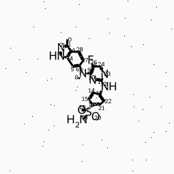 Cc1n[nH]c2cc(N(C)c3nc(Nc4ccc(S(N)(=O)=O)cc4)ncc3F)ccc12